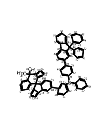 CC1(C)c2ccccc2C2(c3ccccc3-c3cc(-c4cccc(N(c5ccccc5)c5ccc(-c6ccc7c(c6)C(c6ccccc6)(c6ccccc6)c6ccccc6-7)cc5)c4)ccc32)c2ccccc21